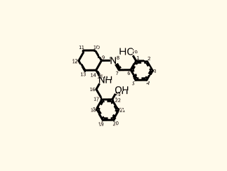 Oc1ccccc1C=NC1CCCCC1NCc1ccccc1O